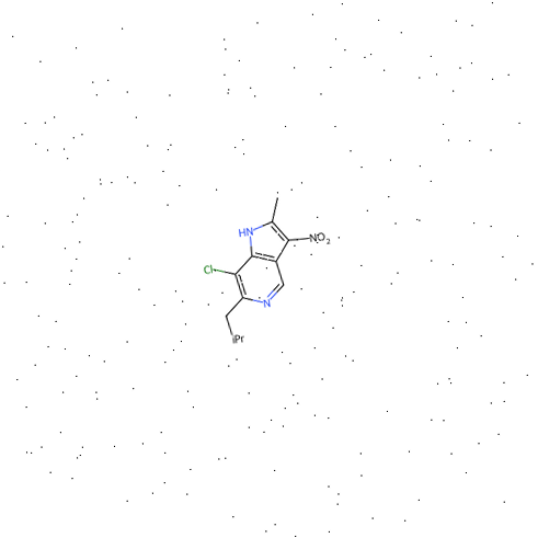 Cc1[nH]c2c(Cl)c(CC(C)C)ncc2c1[N+](=O)[O-]